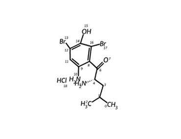 CC(C)C[C@H](N)C(=O)c1c(N)cc(Br)c(O)c1Br.Cl